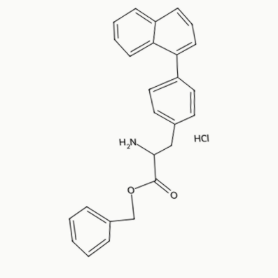 Cl.NC(Cc1ccc(-c2cccc3ccccc23)cc1)C(=O)OCc1ccccc1